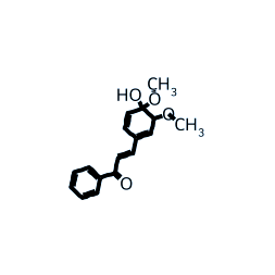 COC1C=C(C=CC(=O)c2ccccc2)C=CC1(O)OC